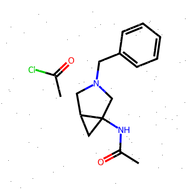 CC(=O)Cl.CC(=O)NC12CC1CN(Cc1ccccc1)C2